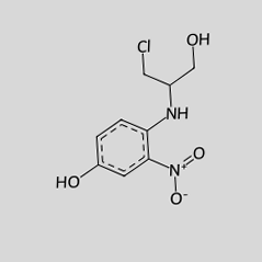 O=[N+]([O-])c1cc(O)ccc1NC(CO)CCl